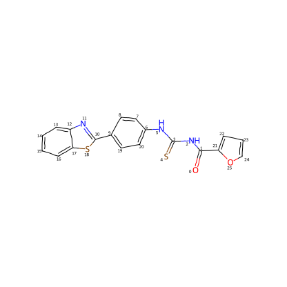 O=C(NC(=S)Nc1ccc(-c2nc3ccccc3s2)cc1)c1ccco1